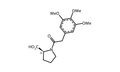 COc1cc(CC(=O)N2CCC[C@H]2C(=O)O)cc(OC)c1OC